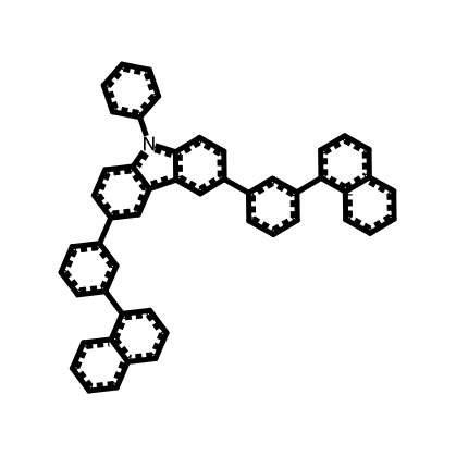 c1ccc(-n2c3ccc(-c4cccc(-c5cccc6ccccc56)c4)cc3c3cc(-c4cccc(-c5cccc6ccccc56)c4)ccc32)cc1